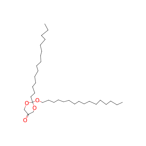 CCCCCCCCCCCCCCCCOC1(CCCCCCCCCCCCCCC)OCC(=O)CO1